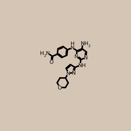 NC(=O)c1ccc(Nc2nc(Nc3ccn(C4CCOCC4)n3)ncc2N)cc1